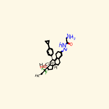 C#CC(F)(F)[C@]1(O)CC[C@H]2[C@@H]3CCC4=C/C(=N/NC(=O)CN)CCC4=C3[C@H](c3ccc(C4CC4)cc3)C[C@@]21C